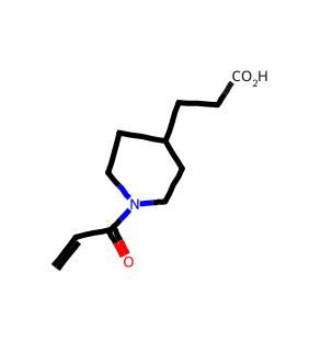 C=CC(=O)N1CCC(CCC(=O)O)CC1